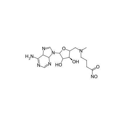 CN(CCCC(=O)N=O)CC1OC(N2C=NC3C(N)=NC=NC32)C(O)[C@@H]1O